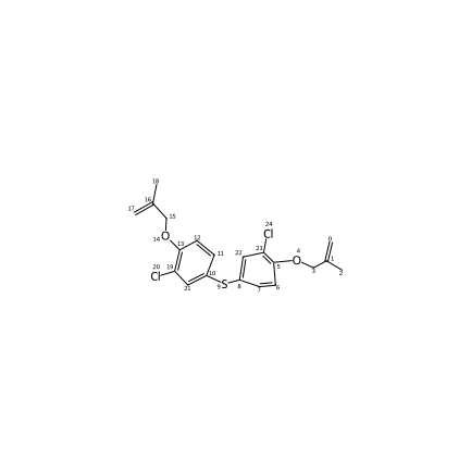 C=C(C)COc1ccc(Sc2ccc(OCC(=C)C)c(Cl)c2)cc1Cl